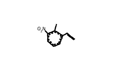 C=Cc1cccc([N+](=O)[O-])c1C